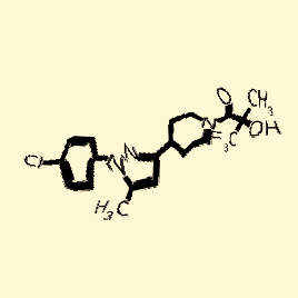 Cc1cc(C2CCN(C(=O)C(C)(O)C(F)(F)F)CC2)nn1-c1ccc(Cl)cc1